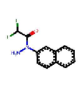 NN(C(=O)C(F)F)c1ccc2ccccc2c1